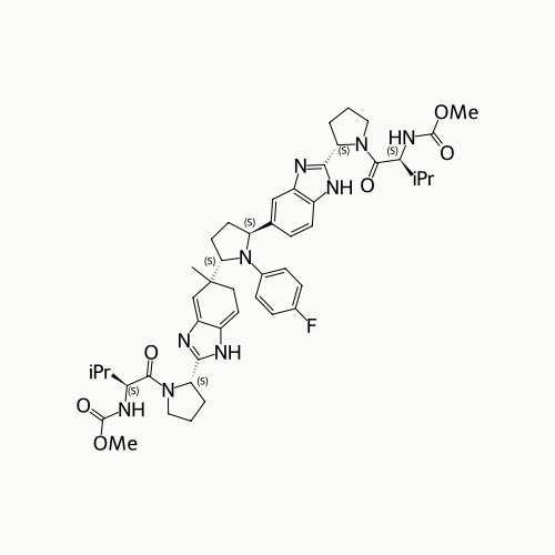 COC(=O)N[C@H](C(=O)N1CCC[C@H]1c1nc2c([nH]1)=CCC(C)([C@@H]1CC[C@@H](c3ccc4[nH]c([C@@H]5CCCN5C(=O)[C@@H](NC(=O)OC)C(C)C)nc4c3)N1c1ccc(F)cc1)C=2)C(C)C